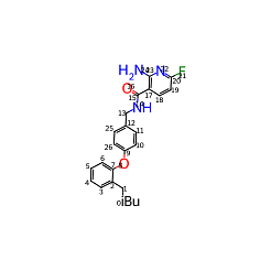 CCC(C)Cc1ccccc1Oc1ccc(CNC(=O)c2ccc(F)nc2N)cc1